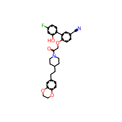 N#Cc1ccc(OCC(=O)N2CCC(CCc3ccc4c(c3)OCCO4)CC2)c(-c2ccc(F)cc2O)c1